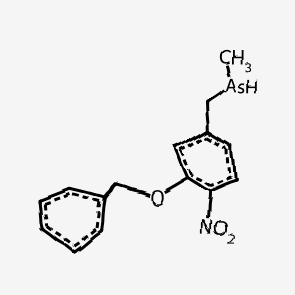 C[AsH]Cc1ccc([N+](=O)[O-])c(OCc2ccccc2)c1